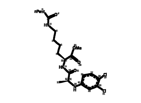 CCCCCC(=O)NCCCC[C@H](NC(=O)[C@H](C)Nc1ccc(Cl)c(Cl)c1)C(=O)OC